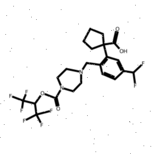 O=C(OC(C(F)(F)F)C(F)(F)F)N1CCN(Cc2ccc(C(F)F)cc2C2(C(=O)O)CCCC2)CC1